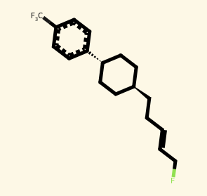 FC/C=C/CC[C@H]1CC[C@H](c2ccc(C(F)(F)F)cc2)CC1